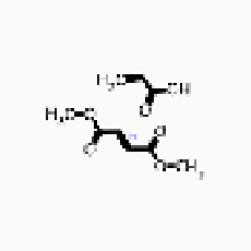 C=CC(=O)O.COC(=O)/C=C/C(=O)OC